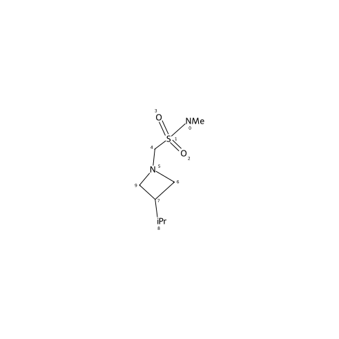 CNS(=O)(=O)CN1CC(C(C)C)C1